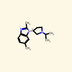 Cc1ccc2nc(C)n([C@@H]3CCN(C(C)C)C3)c2c1